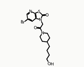 O=C(Cn1c(=O)sc2ncc(Br)cc21)N1CCC(CCCCO)CC1